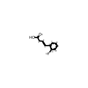 O=C(O)CC=Cc1ccccc1F